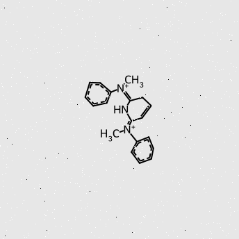 C[N+](=C1C=CCC(=[N+](C)c2ccccc2)N1)c1ccccc1